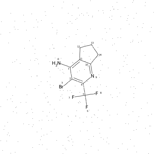 Nc1c(Br)c(C(F)(F)F)nc2c1CCC2